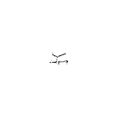 CSC.[Br][Pd][Br]